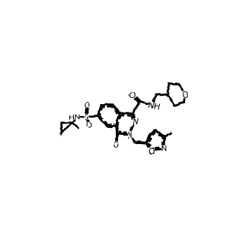 Cc1cc(Cn2nc(C(=O)NCC3CCOCC3)c3ccc(S(=O)(=O)NC4(C)CC4)cc3c2=O)on1